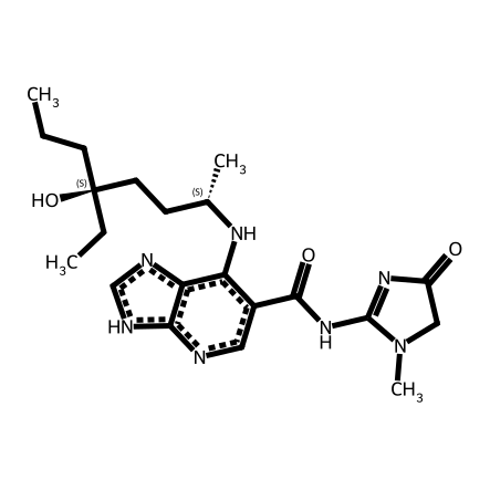 CCC[C@@](O)(CC)CC[C@H](C)Nc1c(C(=O)NC2=NC(=O)CN2C)cnc2[nH]cnc12